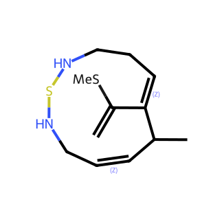 C=C(SC)/C1=C\CCNSNC/C=C\C1C